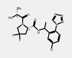 CC(NC(=O)[C@@H]1CC(F)(F)CN1C(=O)[C@H](O)C(C)(C)C)c1cc(Cl)ccc1-n1cnnn1